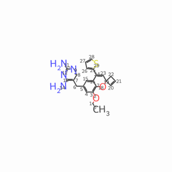 CCOc1cc(Cc2cnc(N)nc2N)cc2c1OC1(C=CC1)C=C2c1cccs1